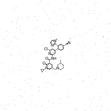 C[C@H]1CCCN(Cc2cc(C(=O)Nc3cc(-c4ccc(C#N)cc4-c4nccn4C)cc(Cl)n3)c(=O)n(C3CC3)c2)C1